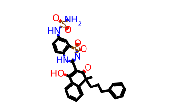 CC1(CCCc2ccccc2)C(=O)C(C2=NS(=O)(=O)c3cc(NS(N)(=O)=O)ccc3N2)=C(O)c2ccccc21